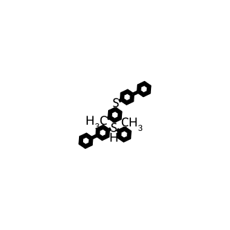 Cc1ccccc1[SH](c1ccc(-c2ccccc2)cc1)c1ccc(Sc2ccc(-c3ccccc3)cc2)cc1C